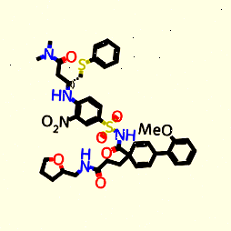 COc1ccccc1C1C=CC(CCC(=O)NCC2CCCO2)(C(=O)NS(=O)(=O)c2ccc(N[C@@H](CSc3ccccc3)CC(=O)N(C)C)c([N+](=O)[O-])c2)C=C1